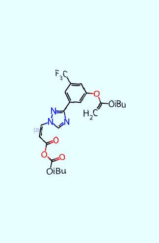 C=C(OCC(C)C)Oc1cc(-c2ncn(/C=C\C(=O)OC(=O)OCC(C)C)n2)cc(C(F)(F)F)c1